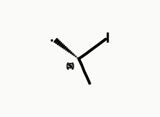 [CH2][C@@H](C)I